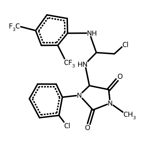 CN1C(=O)C(NC(CCl)Nc2ccc(C(F)(F)F)cc2C(F)(F)F)N(c2ccccc2Cl)C1=O